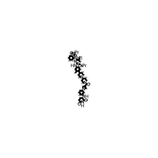 Cc1cc(Nc2ncc(Cl)c(Nc3ccccc3S(=O)(=O)C(C)C)n2)c(OC(C)C)cc1C1CCN(C2CCN(C(=O)C3CN(c4cccc(NC5CCC(=O)NC5=O)c4)C3)CC2)CC1